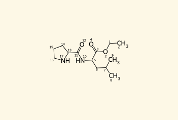 CCOC(=O)C(CC(C)C)NC(=O)C1CCCN1